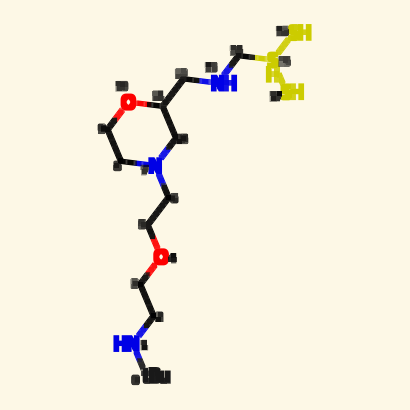 CC(C)(C)NCCOCCN1CCOC(CNC[SH](S)S)C1